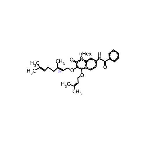 CCCCCCn1c(=O)c(OC/C=C(\C)CCC=C(C)C)c(OCC=C(C)C)c2ccc(NC(=O)c3ccccc3)cc21